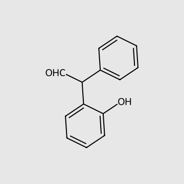 O=CC(c1ccccc1)c1ccccc1O